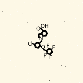 O=C(O)c1cccc2c1ccn2Cc1cc(Cl)ccc1OCc1c(F)c(F)cc(F)c1F